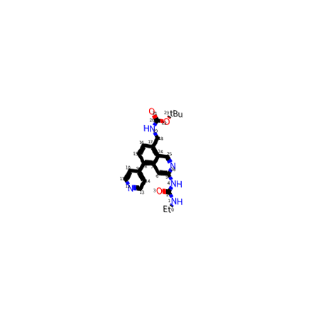 CCNC(=O)Nc1cc2c(-c3ccncc3)ccc(CNC(=O)OC(C)(C)C)c2cn1